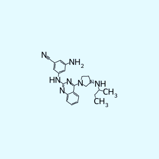 CCC(C)N[C@H]1CCN(c2nc(Nc3cc(N)cc(C#N)c3)nc3ccccc23)C1